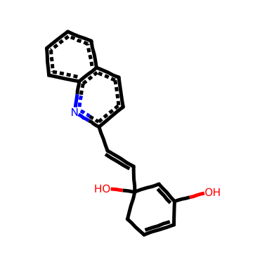 OC1=CC(O)(/C=C/c2ccc3ccccc3n2)CC=C1